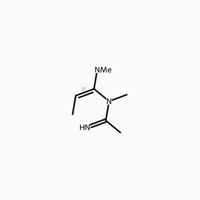 C/C=C(/NC)N(C)C(C)=N